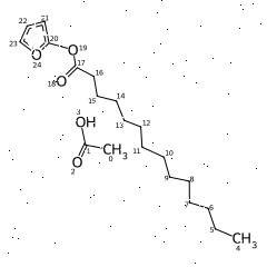 CC(=O)O.CCCCCCCCCCCCCC(=O)Oc1ccco1